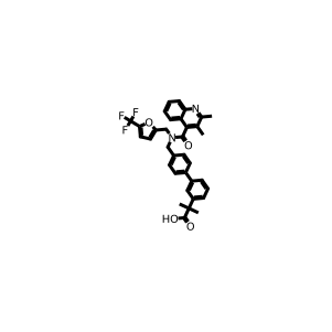 Cc1nc2ccccc2c(C(=O)N(Cc2ccc(-c3cccc(C(C)(C)C(=O)O)c3)cc2)Cc2ccc(C(F)(F)F)o2)c1C